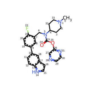 CN1CCC(N(Cc2cc(-c3ccc4[nH]ccc4c3)ccc2F)C(=O)Oc2cnccn2)CC1